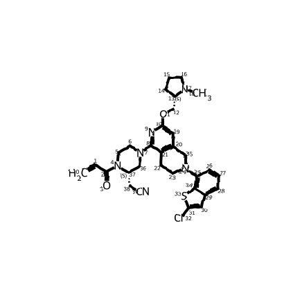 C=CC(=O)N1CCN(c2nc(OC[C@@H]3CCCN3C)cc3c2CCN(c2cccc4cc(Cl)sc24)C3)C[C@@H]1CC#N